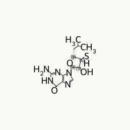 CC(C)C[C@H]1O[C@@H](n2cnc3c(=O)[nH]c(N)nc32)[C@H](O)[C@@H]1S